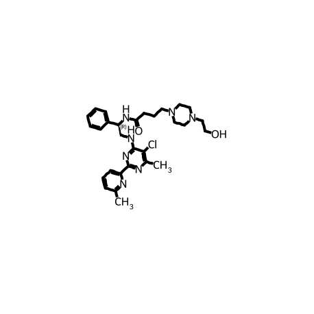 Cc1cccc(-c2nc(C)c(Cl)c(NC[C@H](NC(=O)CCCN3CCN(CCO)CC3)c3ccccc3)n2)n1